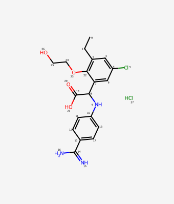 CCc1cc(Cl)cc(C(Nc2ccc(C(=N)N)cc2)C(=O)O)c1OCCO.Cl